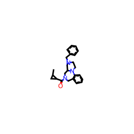 CC1CC1C(=O)N1Cc2ccccc2N2CCN(Cc3ccccc3)CC2C1